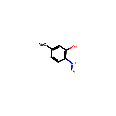 CCCNc1ccc(OC)cc1O